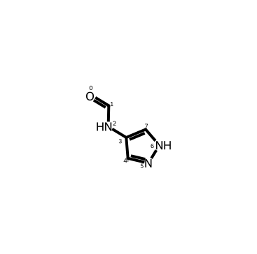 O=CNc1[c]n[nH]c1